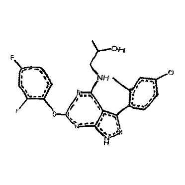 Cc1cc(Cl)ccc1-c1n[nH]c2nc(Oc3ccc(F)cc3F)nc(NCC(C)O)c12